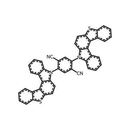 N#Cc1cc(-n2c3ccccc3c3c4c(ccc32)sc2ccccc24)c(C#N)cc1-n1c2ccccc2c2c3c(ccc21)sc1ccccc13